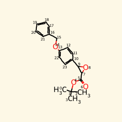 CC(C)(C)OC(=O)C1OC1c1ccc(OCc2ccccc2)cc1